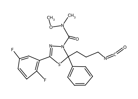 CON(C)C(=O)N1N=C(c2cc(F)ccc2F)SC1(CCCN=C=O)c1ccccc1